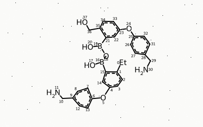 CCc1ccc(Oc2ccc(CN)cc2)cc1B(O)OB(O)c1cc(Oc2ccc(CN)cc2)ccc1CO